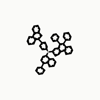 c1ccc(-c2ccc(N(c3ccc(-c4cc5ccccc5c5ccccc45)cc3)c3ccc4c(c3)c(-c3ccccc3)c(-c3ccccc3)c3ccccc34)c3ccccc23)cc1